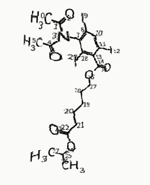 CC(=O)N(C(C)=O)c1c(I)cc(I)c(C(=O)OCCCCCC(=O)OC(C)C)c1I